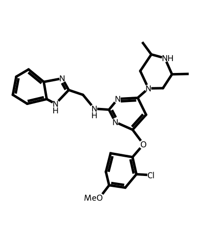 COc1ccc(Oc2cc(N3CC(C)NC(C)C3)nc(NCc3nc4ccccc4[nH]3)n2)c(Cl)c1